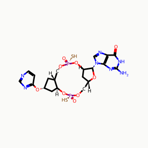 Nc1nc2c(ncn2[C@@H]2O[C@@H]3CO[P@@](=O)(S)O[C@H]4C[C@H](Oc5ccncn5)C[C@@H]4CO[P@](=O)(S)O[C@@H]2C3)c(=O)[nH]1